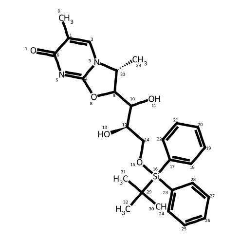 Cc1cn2c(nc1=O)OC(C(O)[C@H](O)CO[Si](c1ccccc1)(c1ccccc1)C(C)(C)C)[C@H]2C